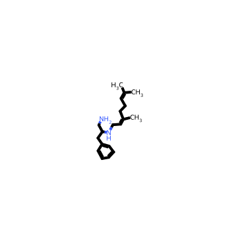 CC(C)=CCCC(C)=CCNC(CN)Cc1ccccc1